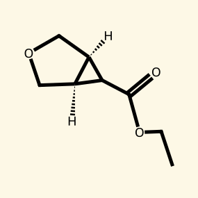 CCOC(=O)C1[C@H]2COC[C@@H]12